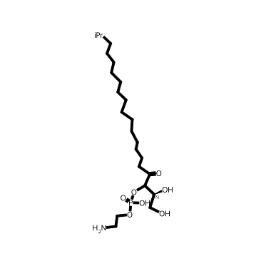 CC(C)CCCCCCCCCCCCCCC(=O)C(OP(=O)(O)OCCN)[C@@H](O)CO